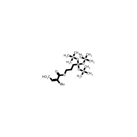 CC(C)(C)C(=CC(=O)O)C(=O)OCCC[Si](O[Si](C)(C)C)(O[Si](C)(C)C)O[Si](C)(C)C